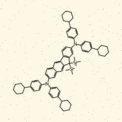 C[Si](C)(C)C1([Si](C)(C)C)c2cc(N(c3ccc(C4CCCCC4)cc3)c3ccc(C4CCCCC4)cc3)ccc2-c2cc3ccc(N(c4ccc(C5CCCCC5)cc4)c4ccc(C5CCCCC5)cc4)cc3cc21